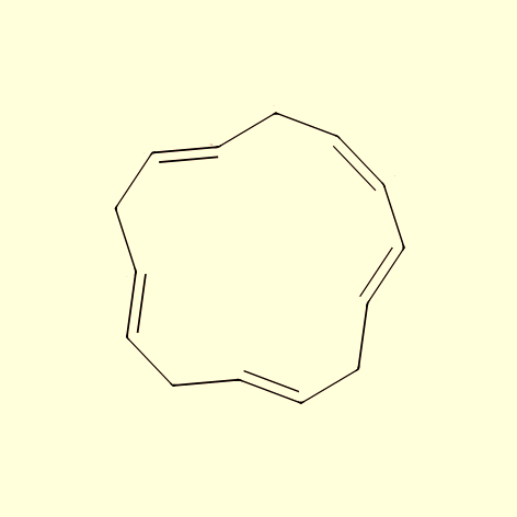 [C]1=C/C/C=C\C=C\C/C=C/C/C=C/C/1